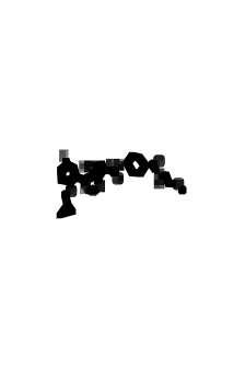 COCCNC(=O)[C@H]1CC[C@H](NC(=O)c2c[nH]c3c(-c4cc(F)ccc4OCC4CC4)ncnc23)CC1